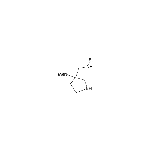 CCNCC1(NC)CCNC1